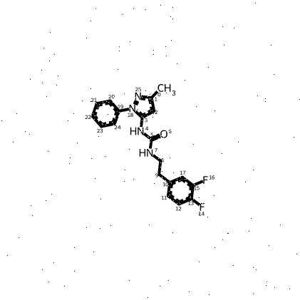 Cc1cc(NC(=O)NCCc2ccc(F)c(F)c2)n(-c2ccccc2)n1